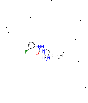 NC1(C(=O)O)CCN(C(=O)Nc2cccc(F)c2)C1